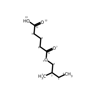 C[CH]C(C)COC(=O)CCCC(=O)O